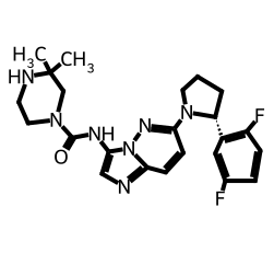 CC1(C)CN(C(=O)Nc2cnc3ccc(N4CCC[C@@H]4c4cc(F)ccc4F)nn23)CCN1